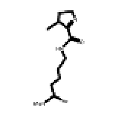 CNC(CCCCNC(=O)C1=NCCC1C)C(C)=O